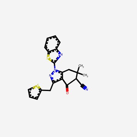 CC1(C)Cc2c(c(Cc3cccs3)nn2-c2nc3ccccc3s2)C(=O)C1C#N